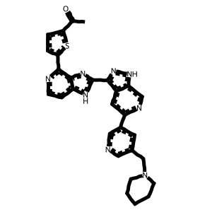 CC(=O)c1ccc(-c2nccc3[nH]c(-c4n[nH]c5cnc(-c6cncc(CN7CCCCC7)c6)cc45)nc23)s1